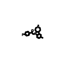 Cc1ccc2c(c1)c1c(n2CC(=O)c2ccc(F)cc2)CCN(C)CC1